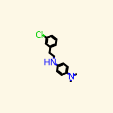 CN(C)c1ccc(NCCc2cccc(Cl)c2)cc1